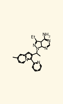 CCC1=NN(C(C)c2cc3cc(C)ccn3c2-c2ccccn2)C2N=CN=C(N)C12